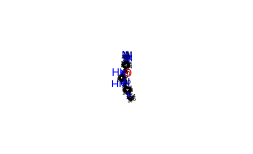 O=C(Nc1ccc2[nH]c(-c3ccc(N4CCCC4)cc3)nc2c1)c1ccc(-n2cnnn2)cc1